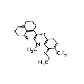 C=Nc1cc2c3c(c1OC1=C/C(=N/CC)C(C)=CC1)CCCN3CCC2